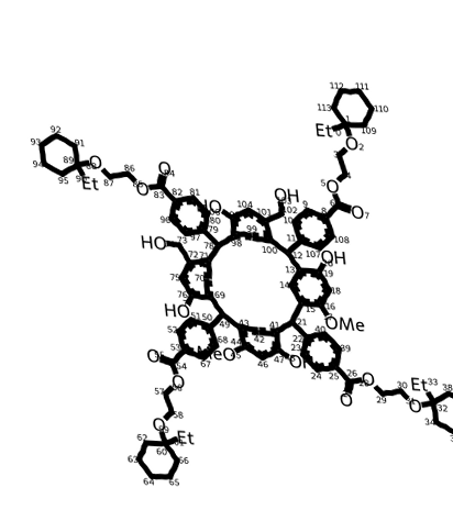 CCC1(OCCOC(=O)c2ccc(C3c4cc(c(OC)cc4O)C(c4ccc(C(=O)OCCOC5(CC)CCCCC5)cc4)c4cc(c(OC)cc4O)C(c4ccc(C(=O)OCCOC5(CC)CCCCC5)cc4)c4cc(c(CO)cc4O)C(c4ccc(C(=O)OCCOC5(CC)CCCCC5)cc4)c4cc3c(CO)cc4O)cc2)CCCCC1